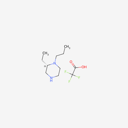 CCCN1CCNC[C@@H]1CC.O=C(O)C(F)(F)F